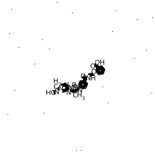 CC(=NO)N1CCc2[nH]c(C(C)c3nc4ccc(C(=O)NCCOc5ccccc5C(=O)O)cc4n3C)nc2C1